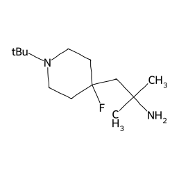 CC(C)(N)CC1(F)CCN(C(C)(C)C)CC1